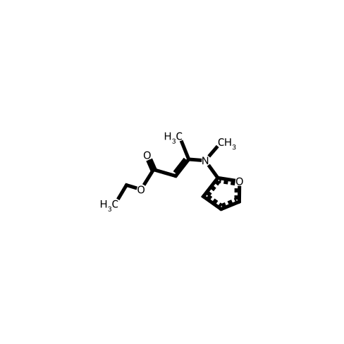 CCOC(=O)C=C(C)N(C)c1ccco1